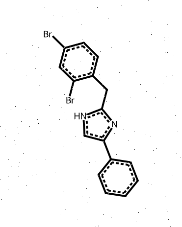 Brc1ccc(Cc2nc(-c3ccccc3)c[nH]2)c(Br)c1